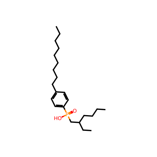 CCCCCCCCCc1ccc(P(=O)(O)CC(CC)CCCC)cc1